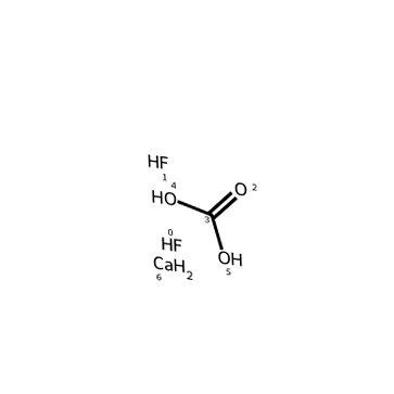 F.F.O=C(O)O.[CaH2]